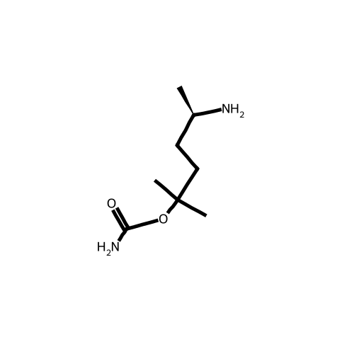 C[C@@H](N)CCC(C)(C)OC(N)=O